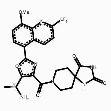 COc1ccc(-c2nc(C(=O)N3CCC4(CC3)NC(=O)NC4=O)c([C@H](C)N)o2)c2ccc(C(F)(F)F)nc12